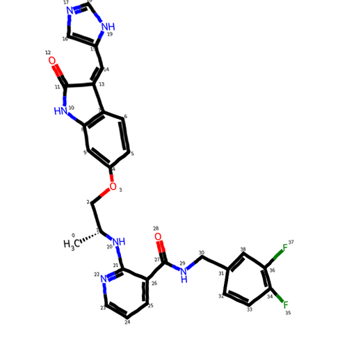 C[C@H](COc1ccc2c(c1)NC(=O)C2=Cc1cnc[nH]1)Nc1ncccc1C(=O)NCc1ccc(F)c(F)c1